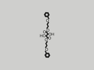 O=C(OCCCCOCc1ccccc1)C(O)C(O)C(=O)OCCCCOCc1ccccc1